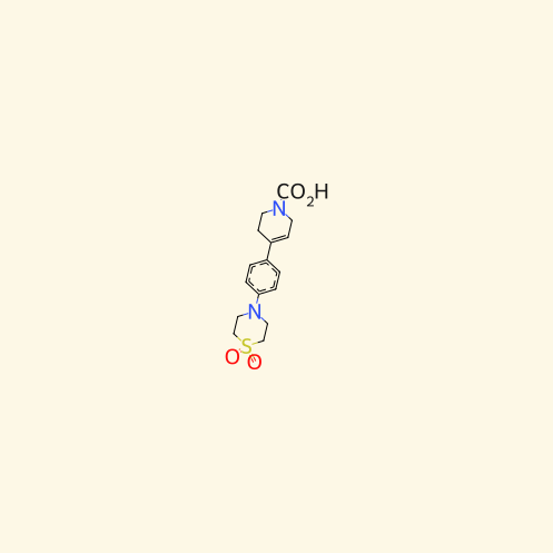 O=C(O)N1CC=C(c2ccc(N3CCS(=O)(=O)CC3)cc2)CC1